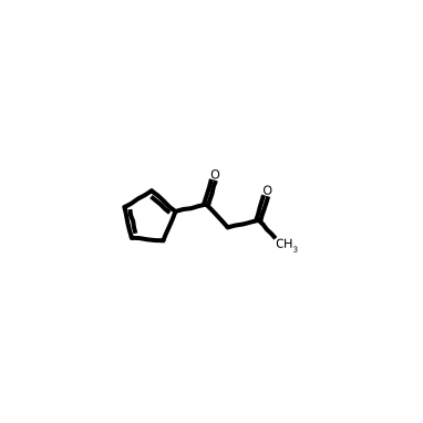 CC(=O)CC(=O)C1=CC=CC1